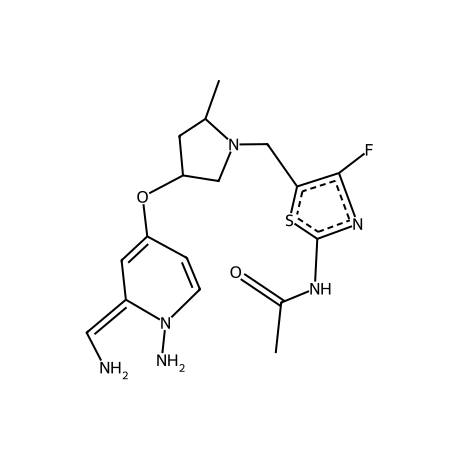 CC(=O)Nc1nc(F)c(CN2CC(OC3=C/C(=C/N)N(N)C=C3)CC2C)s1